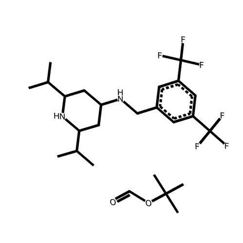 CC(C)(C)OC=O.CC(C)C1CC(NCc2cc(C(F)(F)F)cc(C(F)(F)F)c2)CC(C(C)C)N1